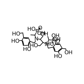 CC(N(Cc1cc(O)c(CO)cc1O)C(CO)C(CO)N(Cc1cc(CO)c(O)cc1O)C(C)P(=O)(O)O)P(=O)(O)O